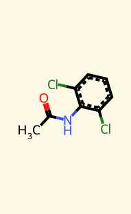 CC(=O)Nc1c(Cl)cccc1Cl